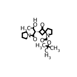 C[C@@H](O)[C@@H](C(=O)N1CCCC1)C1CC2(CCCN2C(=O)OC(C)(C)C)C1=O